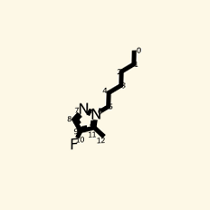 CCCCCCn1n[c]c(F)c1C